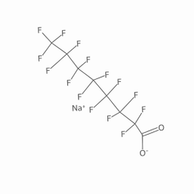 O=C([O-])C(F)(F)C(F)(F)C(F)(F)C(F)(F)C(F)(F)C(F)(F)C(F)(F)F.[Na+]